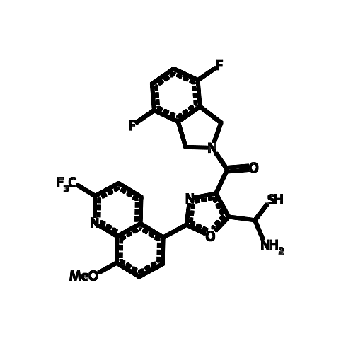 COc1ccc(-c2nc(C(=O)N3Cc4c(F)ccc(F)c4C3)c(C(N)S)o2)c2ccc(C(F)(F)F)nc12